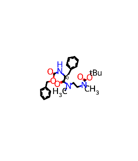 CN(CCN(C)C(=O)[C@H](Cc1ccccc1)NC(=O)OCc1ccccc1)C(=O)OC(C)(C)C